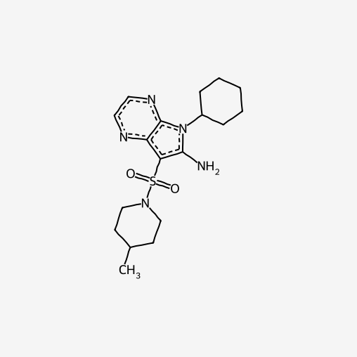 CC1CCN(S(=O)(=O)c2c(N)n(C3CCCCC3)c3nccnc23)CC1